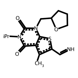 Cc1c(C=N)sc2c1c(=O)n(C(C)C)c(=O)n2CC1CCCO1